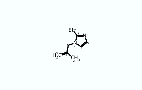 C=C(C)Cn1ccnc1CC